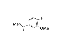 CNC(C)c1ccc(F)c(OC)c1